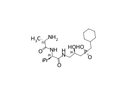 CC(C)[C@@H](NC(=O)[C@H](C)N)C(=O)NC[C@@H](O)CP(=O)(O)CC1CCCCC1